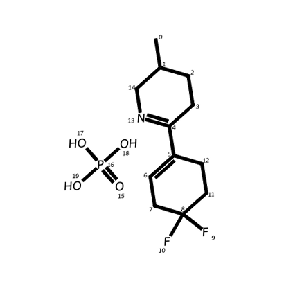 CC1CCC(C2=CCC(F)(F)CC2)=NC1.O=P(O)(O)O